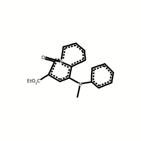 CCOC(=O)c1cc(N(C)c2ccccc2)c2ccccn2c1=O